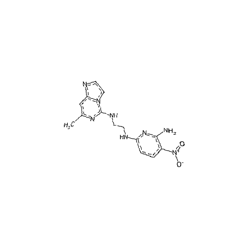 Cc1cc2nccn2c(NCCNc2ccc([N+](=O)[O-])c(N)n2)n1